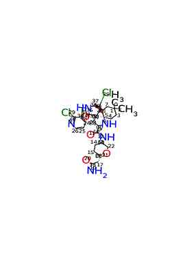 CC1(C)CCC2(CC1)N[C@@H](C(=O)N[C@@H]1CC[C@@H](CC(N)=O)OC1)[C@H](c1ccnc(Cl)c1F)[C@]21C(=O)Nc2cc(Cl)ccc21